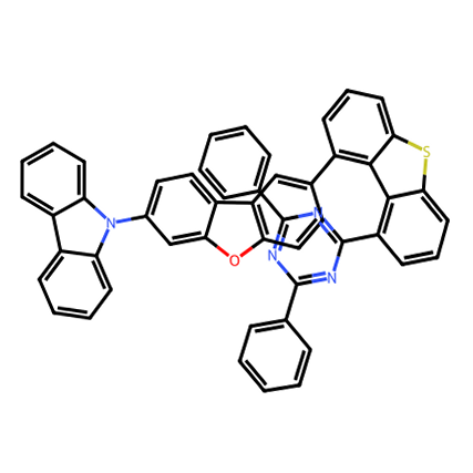 c1ccc(-c2nc(-c3ccccc3)nc(-c3cccc4sc5cccc(-c6ccc7oc8cc(-n9c%10ccccc%10c%10ccccc%109)ccc8c7c6)c5c34)n2)cc1